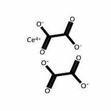 O=C([O-])C(=O)[O-].O=C([O-])C(=O)[O-].[Ce+4]